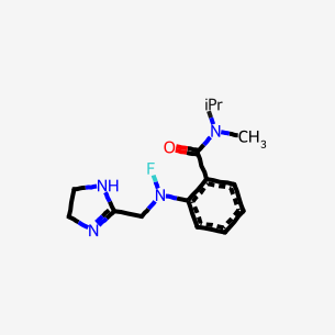 CC(C)N(C)C(=O)c1ccccc1N(F)CC1=NCCN1